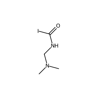 CN(C)CNC(=O)I